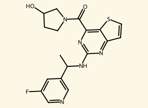 CC(Nc1nc(C(=O)N2CCC(O)C2)c2sccc2n1)c1cncc(F)c1